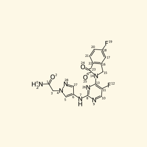 NC(=O)Cn1cc(Nc2ncc(F)c(N3Cc4cc(F)ccc4S3(=O)=O)n2)cn1